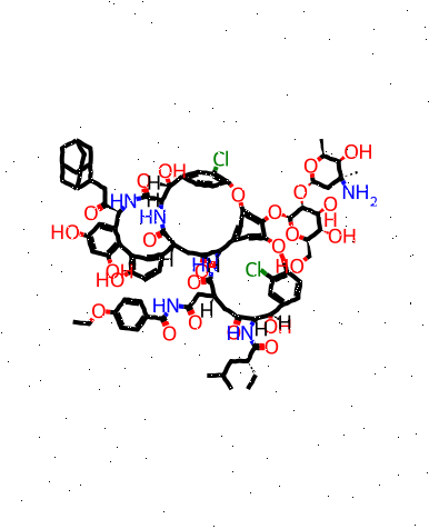 CCOc1ccc(C(=O)NC(=O)C[C@@H]2CC(=O)[C@H](NC(=O)[C@H](CC)CC(C)C)[C@H](O)c3ccc(c(Cl)c3)Oc3cc4cc(c3O[C@@H]3O[C@H](CO)[C@@H](O)[C@H](O)[C@H]3O[C@H]3C[C@](C)(N)[C@H](O)[C@H](C)O3)Oc3ccc(cc3Cl)[C@@H](O)[C@@H]3NC(=O)[C@H](CC(=O)[C@@H]4NC2=O)c2ccc(O)c(c2)-c2c(O)cc(O)cc2[C@@H](C(=O)CC2C4CC5CC(C4)CC2C5)NC3=O)cc1